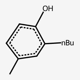 CCCCc1cc(C)ccc1O